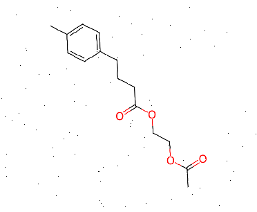 CC(=O)OCCOC(=O)CCCc1ccc(C)cc1